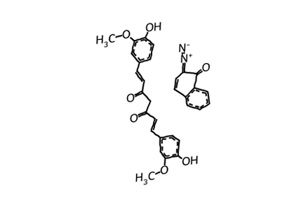 COc1cc(C=CC(=O)CC(=O)C=Cc2ccc(O)c(OC)c2)ccc1O.[N-]=[N+]=C1C=Cc2ccccc2C1=O